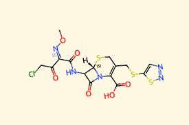 CO/N=C(/C(=O)CCl)C(=O)NC1C(=O)N2C(C(=O)O)=C(CSc3cnns3)CS[C@@H]12